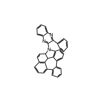 C1=CC2C3c4c1cccc4-c1ccccc1-c1cccc(c13)N2c1nc2ccccc2nc1-c1ccccc1